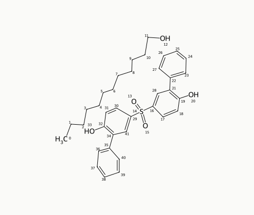 CCCCCCCCCCCCO.O=S(=O)(c1ccc(O)c(-c2ccccc2)c1)c1ccc(O)c(-c2ccccc2)c1